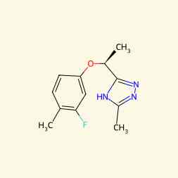 Cc1nnc([C@H](C)Oc2ccc(C)c(F)c2)[nH]1